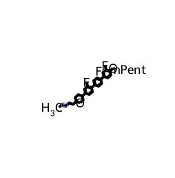 C/C=C/CCC1CCC(c2ccc(-c3ccc(-c4ccc(OCCCCC)c(F)c4F)cc3)c(F)c2)CO1